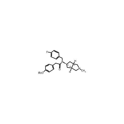 CC(C)COc1ccc(CC(=O)N(Cc2ccc(F)cc2)[C@H]2C[C@@H]3CN(C)C[C@@H]3C2)cc1